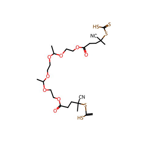 C=C(S)SC(C)(C#N)CCC(=O)OCCOC(C)OCCOC(C)OCCOC(=O)CCC(C)(C#N)SC(=S)S